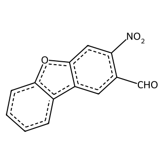 O=Cc1cc2c(cc1[N+](=O)[O-])oc1ccccc12